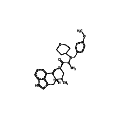 COc1ccc(CN(C2CCOCC2)N(C)C(=O)[C@@H]2C=C3c4cccc5[nH]cc(c45)C[C@H]3N(C)C2)cc1